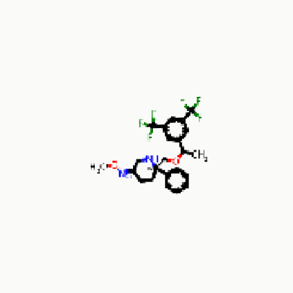 CO/N=C1/CC[C@@](COC(C)c2cc(C(F)(F)F)cc(C(F)(F)F)c2)(c2ccccc2)NC1